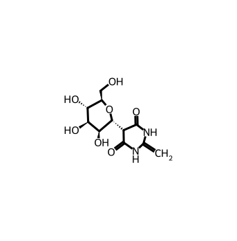 C=C1NC(=O)C([C@H]2O[C@H](CO)[C@@H](O)[C@H](O)[C@@H]2O)C(=O)N1